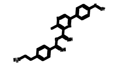 Cc1ncc(-c2ccc(SC(C)C)cc2)nc1C(=N)OC(=N)c1ccc(CCN)cc1